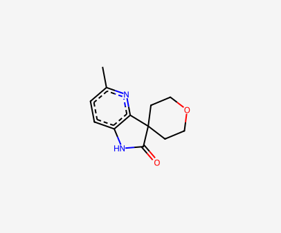 Cc1ccc2c(n1)C1(CCOCC1)C(=O)N2